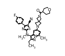 CCc1nn2c(C)cc(N3CC4(CN(C(=O)C5CCOCC5)C4)C3)cc2c1N(C)c1nc(-c2ccc(F)cc2)c(C#N)s1